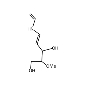 C=CN/C=C/C(O)C(CO)OC